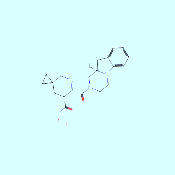 O=C(NO)[C@H]1CC2(CC2)CN[C@@H]1C(=O)N1CCN2c3ccccc3C[C@H]2C1